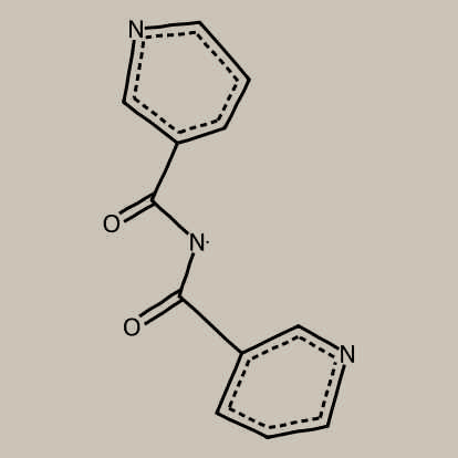 O=C([N]C(=O)c1cccnc1)c1cccnc1